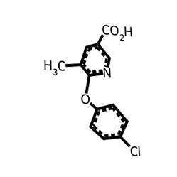 Cc1cc(C(=O)O)cnc1Oc1ccc(Cl)cc1